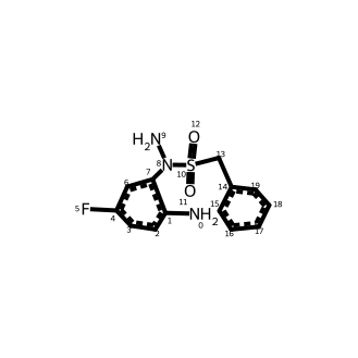 Nc1ccc(F)cc1N(N)S(=O)(=O)Cc1ccccc1